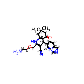 CC1(C)CC(=O)C2=C(C1)NC(COCCN)=C(C#N)C2c1ccc2cncn2c1